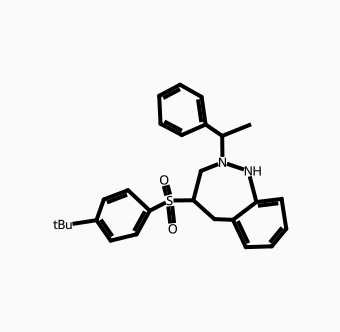 CC(c1ccccc1)N1CC(S(=O)(=O)c2ccc(C(C)(C)C)cc2)Cc2ccccc2N1